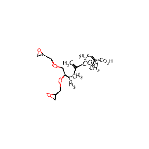 C=C(C)C(=O)O.C=C(C)C(=O)O.CC(COCC1CO1)OCC1CO1